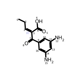 CC/C=C(\C(=O)O)C(=O)c1cc(N)cc(N)c1